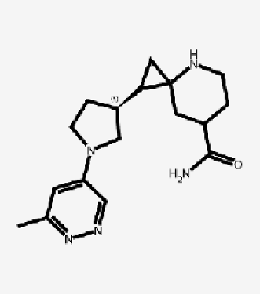 Cc1cc(N2CC[C@@H](C3CC34CC(C(N)=O)CCN4)C2)cnn1